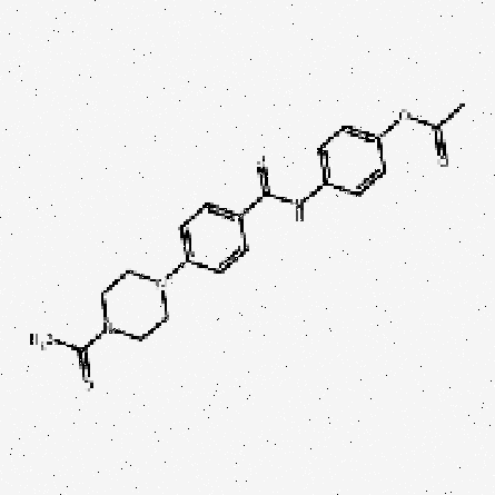 BC(=O)N1CCN(c2ccc(C(=O)Nc3ccc(OC(C)=O)cc3)cc2)CC1